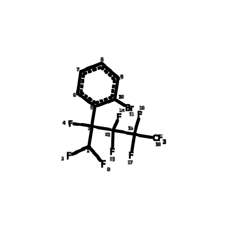 FC(F)C(F)(c1ccccc1Br)C(F)(F)C(F)(F)C(F)(F)F